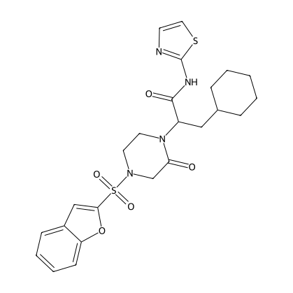 O=C(Nc1nccs1)C(CC1CCCCC1)N1CCN(S(=O)(=O)c2cc3ccccc3o2)CC1=O